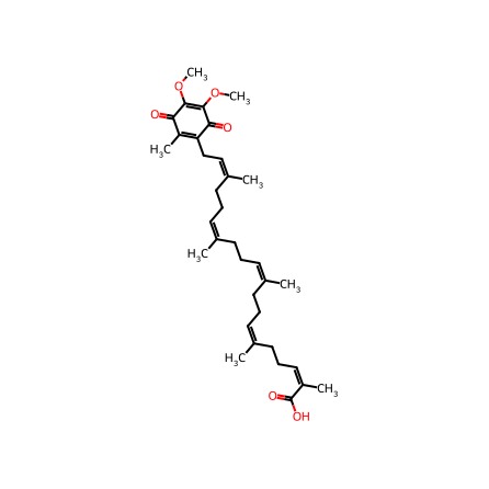 COC1=C(OC)C(=O)C(CC=C(C)CCC=C(C)CCC=C(C)CCC=C(C)CCC=C(C)C(=O)O)=C(C)C1=O